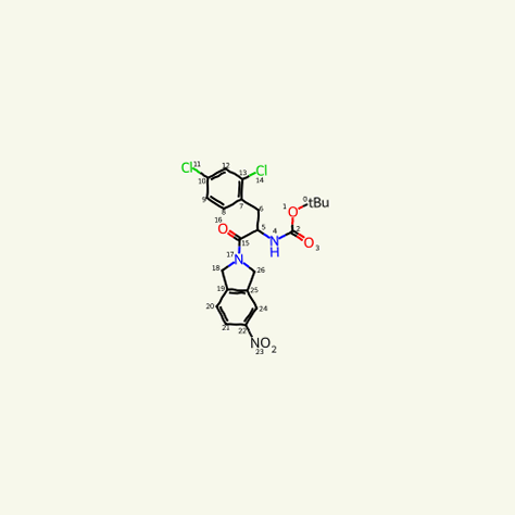 CC(C)(C)OC(=O)NC(Cc1ccc(Cl)cc1Cl)C(=O)N1Cc2ccc([N+](=O)[O-])cc2C1